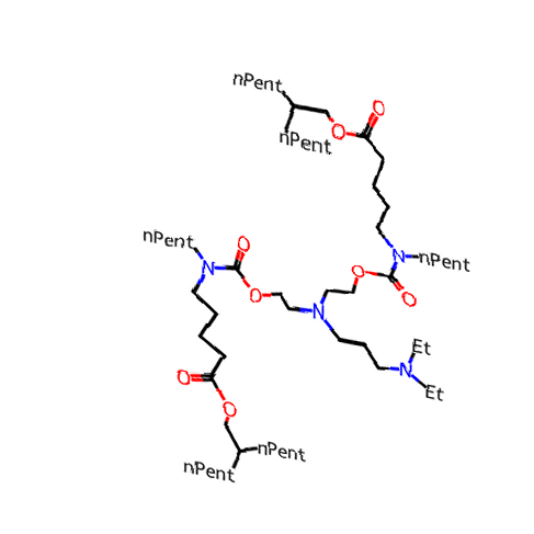 CCCCCC(CCCCC)COC(=O)CCCCN(CCCCC)C(=O)OCCN(CCCN(CC)CC)CCOC(=O)N(CCCCC)CCCCC(=O)OCC(CCCCC)CCCCC